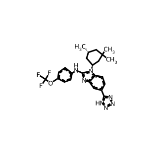 C[C@H]1C[C@H](n2c(Nc3ccc(OC(F)(F)F)cc3)nc3cc(-c4nnn[nH]4)ccc32)CC(C)(C)C1